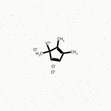 CC1=C(C)[C](C)([V+3])C=C1.[Cl-].[Cl-].[Cl-]